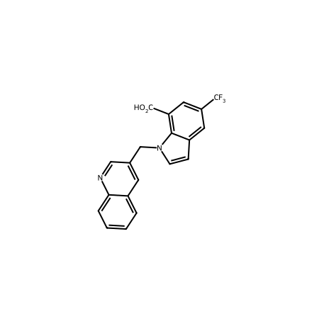 O=C(O)c1cc(C(F)(F)F)cc2ccn(Cc3cnc4ccccc4c3)c12